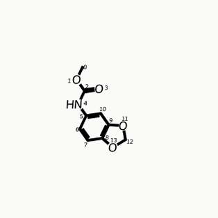 [CH2]OC(=O)Nc1ccc2c(c1)OCO2